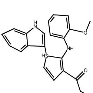 CCC(=O)C1=C(Nc2ccccc2OC)[SH](c2c[nH]c3ccccc23)C=C1